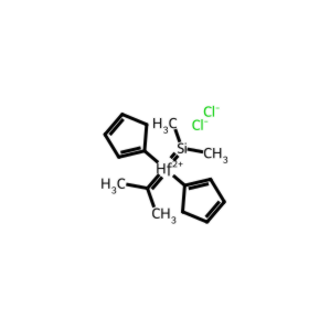 C[C](C)=[Hf+2]([C]1=CC=CC1)([C]1=CC=CC1)=[Si](C)C.[Cl-].[Cl-]